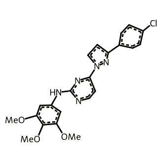 COc1cc(Nc2nccc(-n3ccc(-c4ccc(Cl)cc4)n3)n2)cc(OC)c1OC